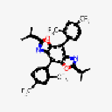 CC(C)=c1nc2c(-c3ccc(C(F)(F)F)cc3C(F)(F)F)c3oc(=C(C)C)nc3c(-c3ccc(C(F)(F)F)cc3C(F)(F)F)c2o1